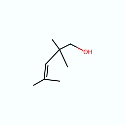 CC(C)=CC(C)(C)CO